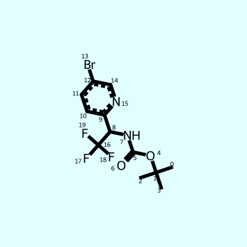 CC(C)(C)OC(=O)NC(c1ccc(Br)cn1)C(F)(F)F